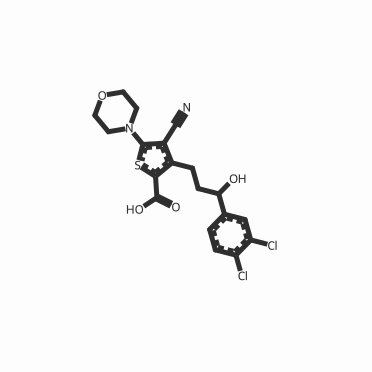 N#Cc1c(N2CCOCC2)sc(C(=O)O)c1CCC(O)c1ccc(Cl)c(Cl)c1